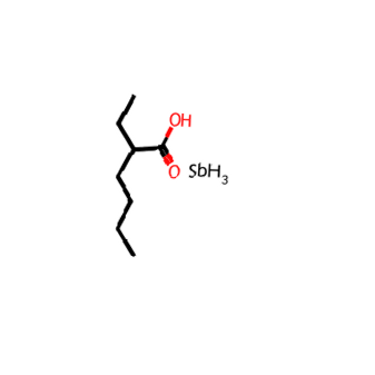 CCCCC(CC)C(=O)O.[SbH3]